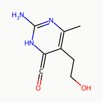 CC1=C(CCO)C(=C=O)NC(N)=N1